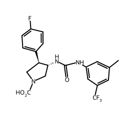 Cc1cc(NC(=O)N[C@@H]2CN(C(=O)O)C[C@H]2c2ccc(F)cc2)cc(C(F)(F)F)c1